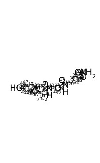 C=C(C)[C@@H]1CC[C@]2(C(=O)NCc3cccc(C(=O)NCCc4ccc(S(N)(=O)=O)cc4)c3)CC[C@]3(C)C(CCC4[C@@]5(C)CC[C@H](O)C(C)(C)C5CC[C@]43C)C12